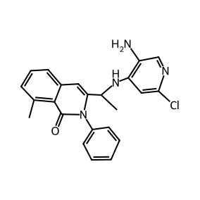 Cc1cccc2cc(C(C)Nc3cc(Cl)ncc3N)n(-c3ccccc3)c(=O)c12